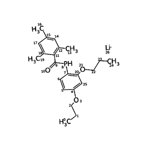 CCCOc1ccc(PC(=O)c2c(C)cc(C)cc2C)c(OCCC)c1.[Li]